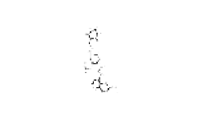 COc1ccc2nccc([C@H](O)CC[C@@H]3CCN(CCCc4c(F)cccc4F)C[C@@H]3CC(=O)O)c2c1